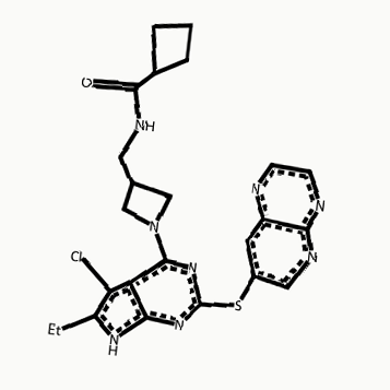 CCc1[nH]c2nc(Sc3cnc4nccnc4c3)nc(N3CC(CNC(=O)C4CCC4)C3)c2c1Cl